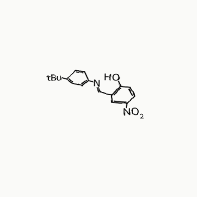 CC(C)(C)c1ccc(/N=C/c2cc([N+](=O)[O-])ccc2O)cc1